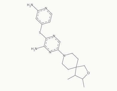 CC1OCC2(CCN(c3cnc(Sc4ccnc(N)c4)c(N)n3)CC2)C1C